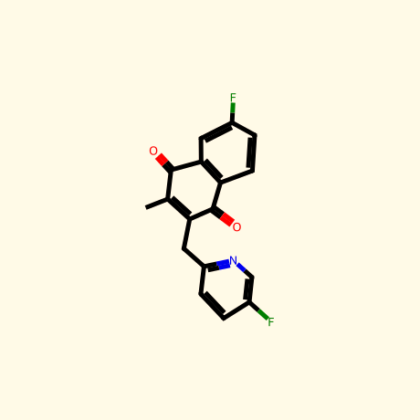 CC1=C(Cc2ccc(F)cn2)C(=O)c2ccc(F)cc2C1=O